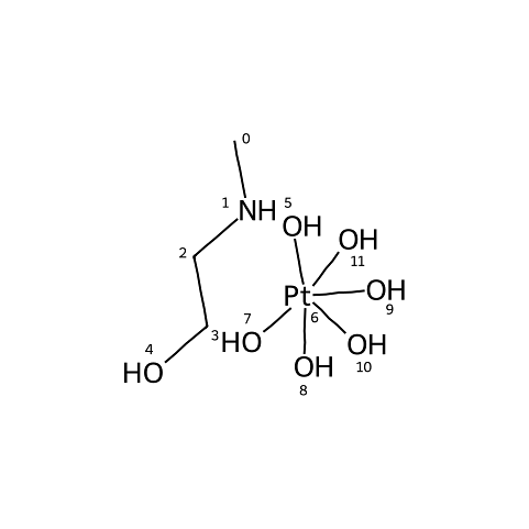 CNCCO.[OH][Pt]([OH])([OH])([OH])([OH])[OH]